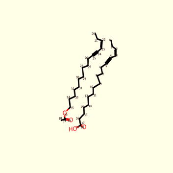 CC/C=C\C#CCCCCCCCCCCCC(=O)O.CC/C=C\C#CCCCCCCCCCCOC(C)=O